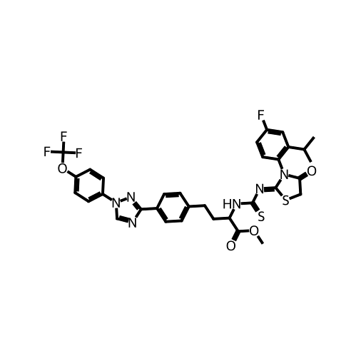 COC(=O)C(CCc1ccc(-c2ncn(-c3ccc(OC(F)(F)F)cc3)n2)cc1)NC(=S)/N=C1\SCC(=O)N1c1ccc(F)cc1C(C)C